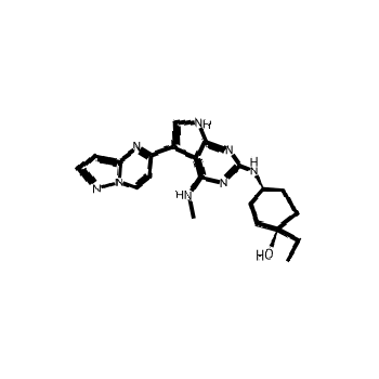 CC[C@]1(O)CC[C@@H](Nc2nc(NC)c3c(-c4ccn5nccc5n4)c[nH]c3n2)CC1